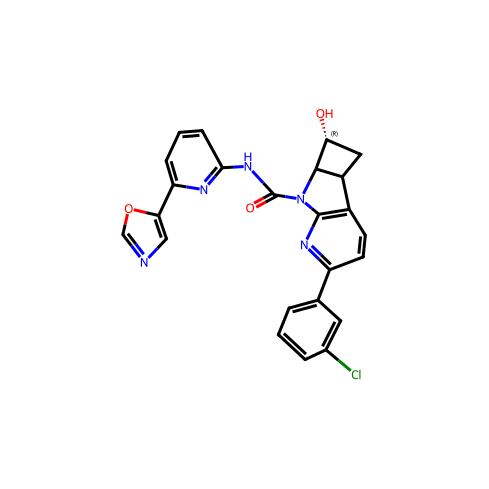 O=C(Nc1cccc(-c2cnco2)n1)N1c2nc(-c3cccc(Cl)c3)ccc2C2C[C@@H](O)C21